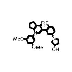 COc1cc(OC)cc(-n2cc(-c3cc(N4CC[C@H](O)C4)ccc3C(F)(F)F)c(=O)c3c2CCC3)c1